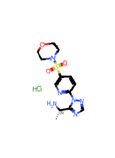 C[C@H](N)c1ncnn1-c1ccc(S(=O)(=O)N2CCOCC2)cn1.Cl